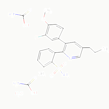 C.CCCc1cnc(-c2ccccc2S(N)(=O)=O)c(-c2ccc(OC)c(F)c2)c1.NC(O)=S.NC(O)=S.O